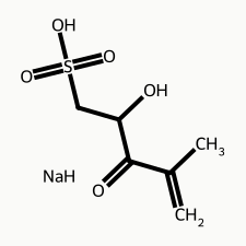 C=C(C)C(=O)C(O)CS(=O)(=O)O.[NaH]